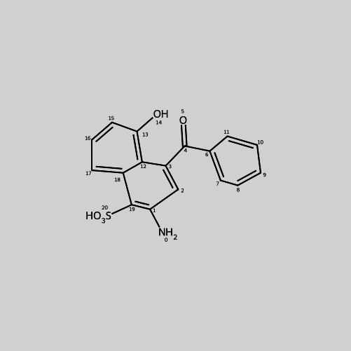 Nc1cc(C(=O)c2ccccc2)c2c(O)cccc2c1S(=O)(=O)O